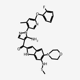 CSNc1cc2[nH]c(C(=O)c3cnn(-c4cnc(Oc5ccccc5F)cc4C)c3N)cc2cc1N1CCOCC1